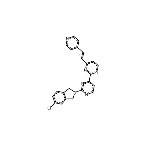 Clc1ccc2c(c1)CN(c1nccc(-c3nccc(/C=C/c4ccncc4)n3)n1)C2